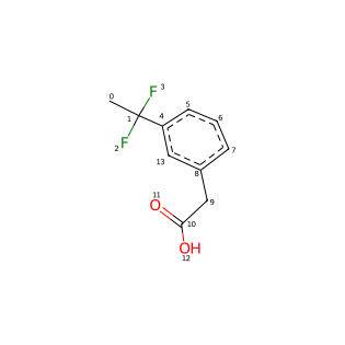 CC(F)(F)c1cccc(CC(=O)O)c1